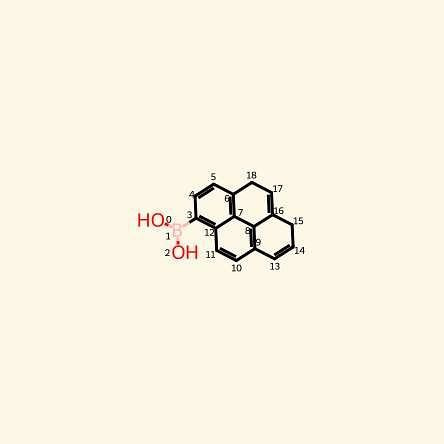 OB(O)c1ccc2c3c4c(ccc13)C=CCC4=CC2